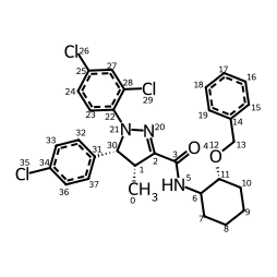 C[C@H]1C(C(=O)NC2CCCC[C@H]2OCc2ccccc2)=NN(c2ccc(Cl)cc2Cl)[C@H]1c1ccc(Cl)cc1